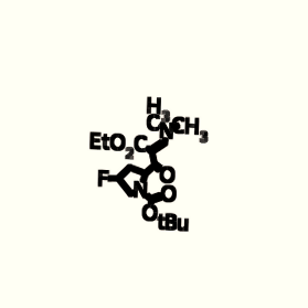 CCOC(=O)/C(=C\N(C)C)C(=O)C1CC(F)CN1C(=O)OC(C)(C)C